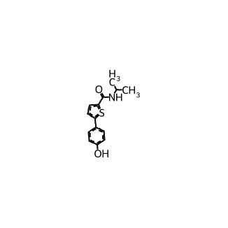 CC(C)NC(=O)c1ccc(-c2ccc(O)cc2)s1